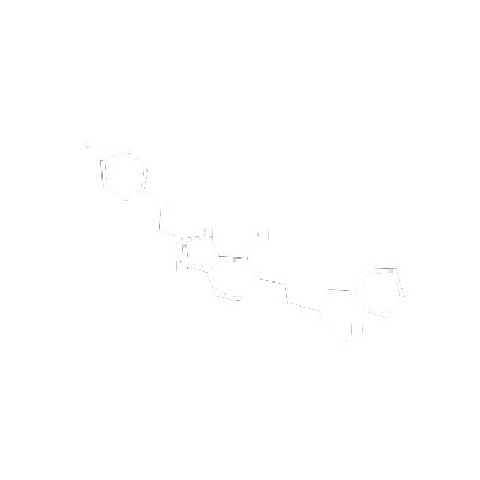 CCOC(=O)C(CCc1ccc2[nH]c(COc3ccc(Cl)cc3)nc2c1C)Cc1ccccc1